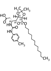 CCCCCCCCCCCCO[C@H]1O[C@H]([C@@H](CC(=O)O)NC(=O)Nc2ccc(C)cc2)[C@@H]2OC(C)(C)O[C@H]12